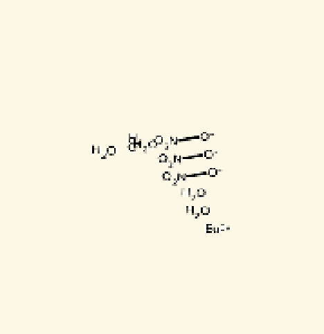 O.O.O.O.O.O=[N+]([O-])[O-].O=[N+]([O-])[O-].O=[N+]([O-])[O-].[Eu+3]